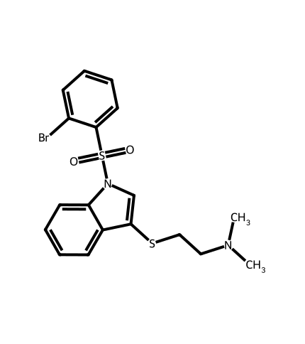 CN(C)CCSc1cn(S(=O)(=O)c2ccccc2Br)c2ccccc12